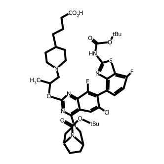 CC(CN1CCC(CCCC(=O)O)CC1)Oc1nc(N2CC3CCC(C2)N3C(=O)OC(C)(C)C)c2cc(Cl)c(-c3ccc(F)c4sc(NC(=O)OC(C)(C)C)nc34)c(F)c2n1